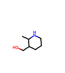 CC1NCCCC1CO